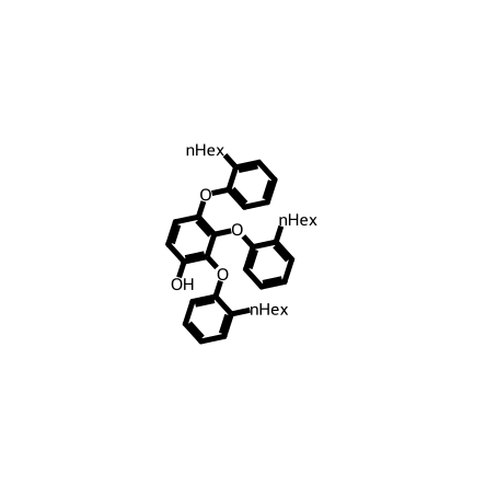 CCCCCCc1ccccc1Oc1ccc(O)c(Oc2ccccc2CCCCCC)c1Oc1ccccc1CCCCCC